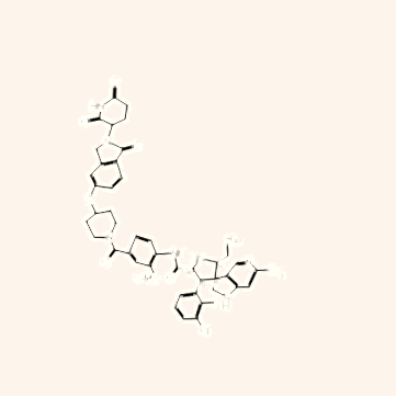 COc1cc(C(=O)N2CCC(Oc3ccc4c(c3)CN(C3CCC(=O)NC3=O)C4=O)CC2)ccc1NC(=O)[C@@H]1N[C@@H](CC(C)(C)C)[C@@]2(CNc3cc(C(F)(F)F)ncc32)[C@H]1c1cccc(Cl)c1F